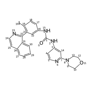 O=C(Nc1ccnc(N2CCOCC2)c1)Nc1ccc(I)c(-c2nccc3ccccc23)c1